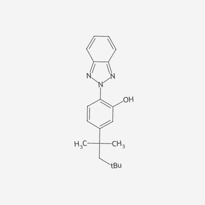 CC(C)(C)CC(C)(C)c1ccc(-n2nc3ccccc3n2)c(O)c1